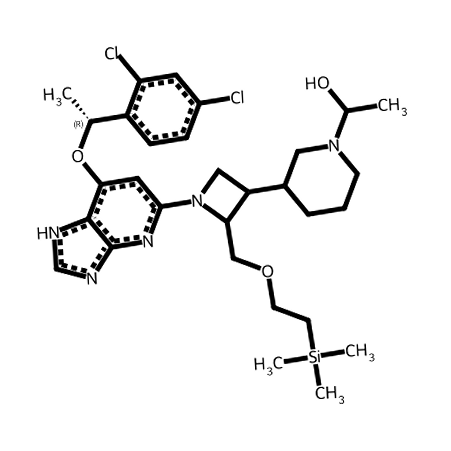 CC(O)N1CCCC(C2CN(c3cc(O[C@H](C)c4ccc(Cl)cc4Cl)c4[nH]cnc4n3)C2COCC[Si](C)(C)C)C1